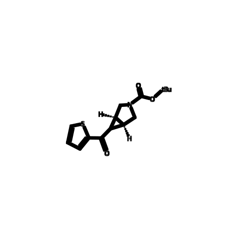 CC(C)(C)OC(=O)N1C[C@@H]2C(C(=O)c3cccs3)[C@@H]2C1